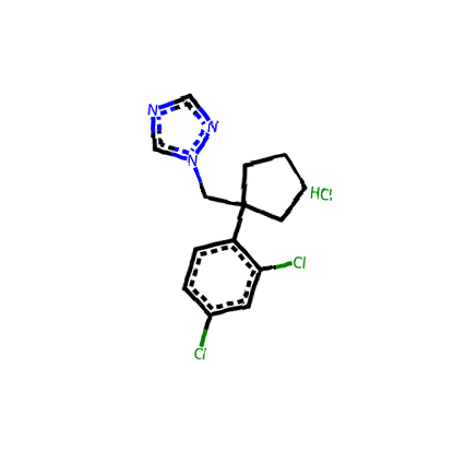 Cl.Clc1ccc(C2(Cn3cncn3)CCCC2)c(Cl)c1